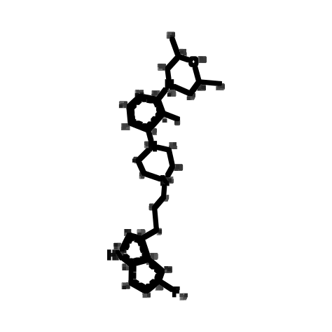 Cc1c(N2CCN(CCCc3c[nH]c4ccc(F)cc34)CC2)cccc1N1CC(C)OC(C)C1